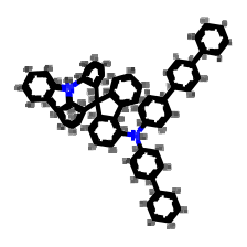 c1ccc(-c2ccc(-c3ccc(N(c4ccc(-c5ccccc5)cc4)c4cccc5c4-c4ccccc4C54c5ccccc5-n5c6ccccc6c6cccc4c65)cc3)cc2)cc1